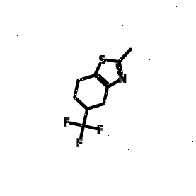 Cc1nc2c(s1)CCC(C(F)(F)F)C2